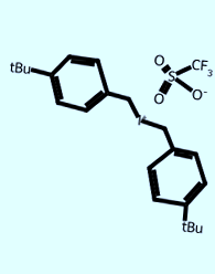 CC(C)(C)c1ccc(C[I+]Cc2ccc(C(C)(C)C)cc2)cc1.O=S(=O)([O-])C(F)(F)F